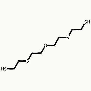 SCCSCCOCCSCCS